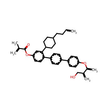 C=CCCC1CCC(c2cc(OC(=O)C(=C)C)ccc2-c2ccc(-c3ccc(OC(=C)C(=C)CO)cc3)cc2)CC1